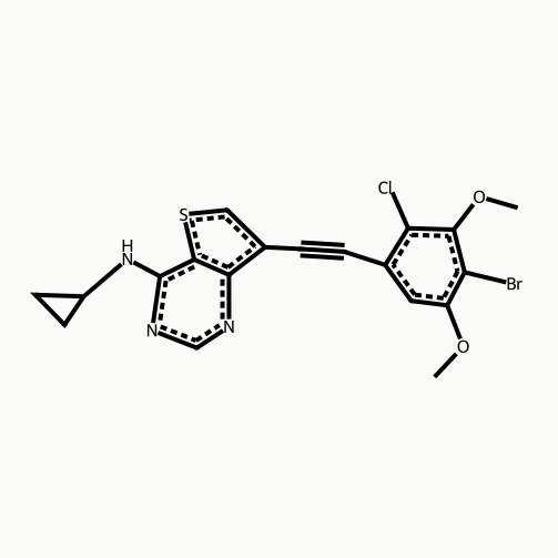 COc1cc(C#Cc2csc3c(NC4CC4)ncnc23)c(Cl)c(OC)c1Br